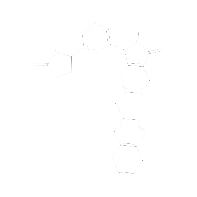 CCn1c(=O)c2cnc(Nc3ccc4c(c3)CNCC4)nc2n1-c1cccc(C2CCC(=O)N2)n1